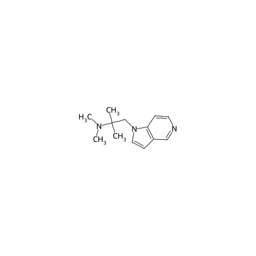 CN(C)C(C)(C)Cn1ccc2cnccc21